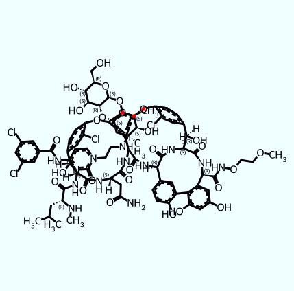 CN[C@H](CC(C)C)C(=O)N[C@H]1C(=O)N[C@@H](CC(N)=O)C(=O)NC2C(=O)N[C@H]3C(=O)N[C@H](C(=O)N[C@@H](C(=O)NOCCOC)c4cc(O)cc(O)c4-c4cc3ccc4O)[C@H](O)c3ccc(c(Cl)c3)Oc3cc2cc(c3O[C@@H]2O[C@H](CO)[C@@H](O)[C@H](O)[C@H]2O[C@H]2C[C@](C)(NCCn3ccc(NC(=O)c4cc(Cl)cc(Cl)c4)nc3=O)[C@H](O)[C@H](C)O2)Oc2ccc(cc2Cl)[C@H]1O